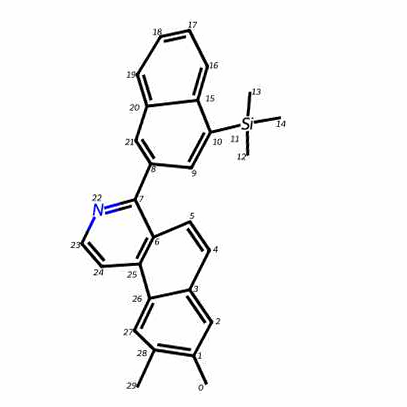 Cc1cc2ccc3c(-c4cc([Si](C)(C)C)c5ccccc5c4)nccc3c2cc1C